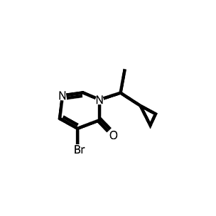 CC(C1CC1)n1cncc(Br)c1=O